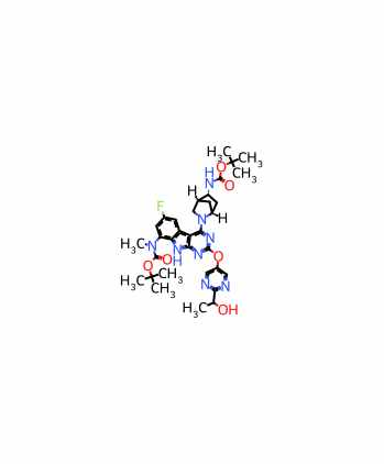 CC(O)c1ncc(Oc2nc(N3C[C@H]4C[C@@H]3C[C@H]4NC(=O)OC(C)(C)C)c3c(n2)[nH]c2c(N(C)C(=O)OC(C)(C)C)cc(F)cc23)cn1